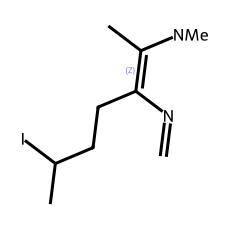 C=N/C(CCC(C)I)=C(/C)NC